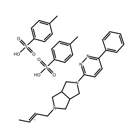 C/C=C/CN1CC2CN(c3ccc(-c4ccccc4)nn3)CC2C1.Cc1ccc(S(=O)(=O)O)cc1.Cc1ccc(S(=O)(=O)O)cc1